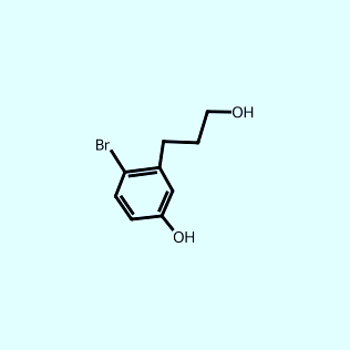 OCCCc1cc(O)ccc1Br